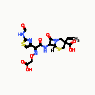 C=CC1(C(=O)O)CS[C@@H]2C(NC(=O)C(=NOCC(=O)O)c3csc(NC=O)n3)C(=O)N2C1